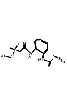 CCOP(C)(=O)CC(=O)Nc1ccccc1NC(=O)OC(C)(C)C